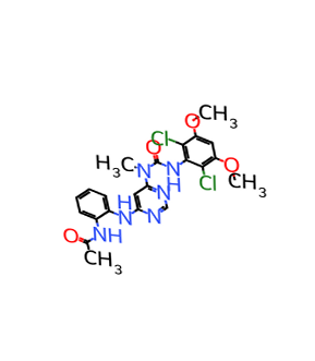 COc1cc(OC)c(Cl)c(NC(=O)N(C)c2cc(Nc3ccccc3NC(C)=O)ncn2)c1Cl